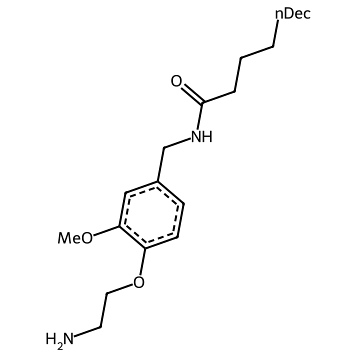 CCCCCCCCCCCCCC(=O)NCc1ccc(OCCN)c(OC)c1